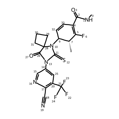 CNC(=O)C1=C(F)[C@H](C)C(N2C(=S)N(c3cnc(C#N)c(C(F)(F)F)c3)C(=O)C23CCC3)C=C1